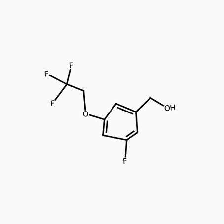 O[CH]c1cc(F)cc(OCC(F)(F)F)c1